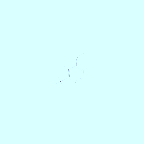 CNc1c(F)ccc(C(F)(F)F)c1F